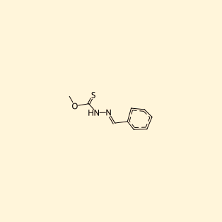 COC(=S)N/N=C/c1ccccc1